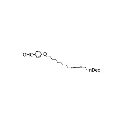 CCCCCCCCCCCCC#CC#CCCCCCCCCCOc1ccc(C=O)cc1